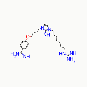 N=C(N)NCCCCCCCn1ccn(CCCCOc2ccc(C(=N)N)cc2)c1=N